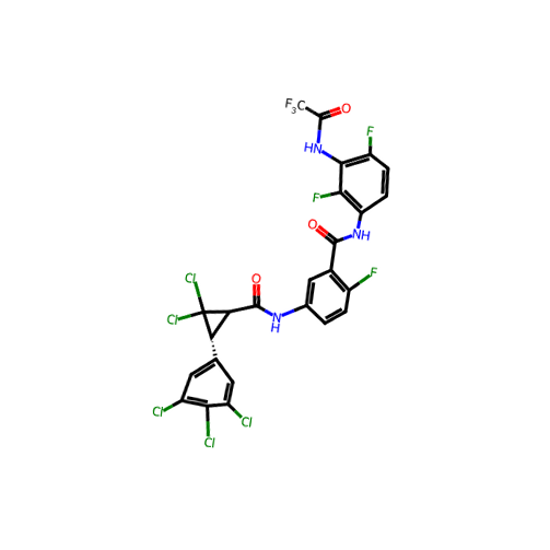 O=C(Nc1ccc(F)c(NC(=O)C(F)(F)F)c1F)c1cc(NC(=O)C2[C@H](c3cc(Cl)c(Cl)c(Cl)c3)C2(Cl)Cl)ccc1F